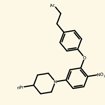 CCCC1CCN(c2ccc([N+](=O)[O-])c(Oc3ccc(CCC(C)=O)cc3)c2)CC1